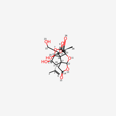 C=C(C)[C@@H]1[C@@H](O)C2OC(=O)C34OC5OC(=O)CC51C23[C@@H](O)C(CO)OC(=O)[C@H]4C